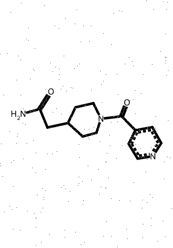 NC(=O)CC1CCN(C(=O)c2ccncc2)CC1